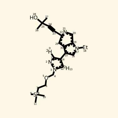 [2H]c1nn(COCC[Si](C)(C)C)c([2H])c1-c1cn(CC)c2cnc(C#CC(C)(C)O)cc12